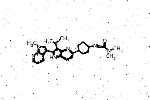 CC(C)c1c(-c2cn(C)c3ncccc23)[nH]c2ccc(C3CCC(NCC(=O)N(C)C)CC3)nc12